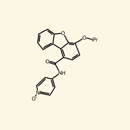 CC(C)Oc1ccc(C(=O)Nc2cc[n+]([O-])cc2)c2c1oc1ccccc12